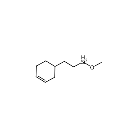 CO[SiH2]CCC1CC=CCC1